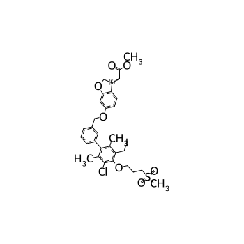 COC(=O)C[C@@H]1COc2cc(OCc3cccc(-c4c(C)c(Cl)c(OCCCS(C)(=O)=O)c(CI)c4C)c3)ccc21